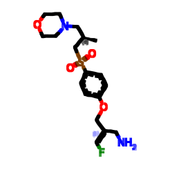 C[C@H](CN1CCOCC1)CS(=O)(=O)c1ccc(OC/C(=C/F)CN)cc1